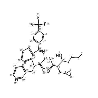 CCCC[C@H](O)[C@@H](CC1CC1)C(=O)N[C@H]1N=C(c2ccc(C(F)(F)F)cc2)c2ccccc2N(Cc2cccnc2)C1=O